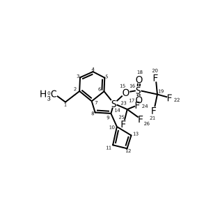 CCc1cccc2c1C=C(C1=CC=C1)S2(OS(=O)(=O)C(F)(F)F)C(F)(F)F